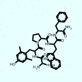 CCCCCCC(N)C(=O)NC(Cc1c(C)cc(O)cc1C)C(=O)N1CCCC1C(=O)NC(Cc1c[nH]c2ccccc12)C(=O)NC(Cc1ccccc1)C(N)=O